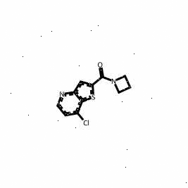 O=C(c1cc2nccc(Cl)c2s1)N1CCC1